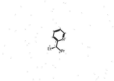 CC[C@@H](c1ccccn1)C(C)C